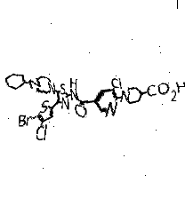 O=C(Nc1nc(-c2cc(Cl)c(Br)s2)c(N2CCN(C3CCCCC3)CC2)s1)c1cnc(N2CCC(C(=O)O)CC2)c(Cl)c1